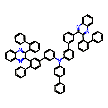 c1ccc(-c2ccc(N(c3cccc(-c4cccc(-c5nc6ccccc6nc5-c5ccccc5-c5ccccc5)c4)c3)c3cccc(-c4ccc(-c5ccccc5)c(-c5nc6ccccc6nc5-c5ccccc5-c5ccccc5)c4)c3)cc2)cc1